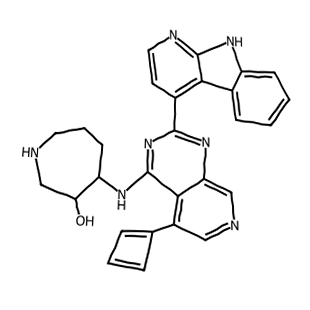 OC1CNCCCC1Nc1nc(-c2ccnc3[nH]c4ccccc4c23)nc2cncc(C3=CC=C3)c12